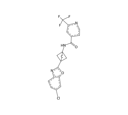 O=C(NC12CC(c3nc4ccc(Cl)cc4o3)(C1)C2)c1ccnc(C(F)(F)F)c1